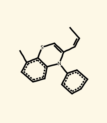 C/C=C\C1=CSc2c(C)cccc2N1c1ccccc1